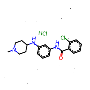 CN1CCC(Nc2cccc(NC(=O)c3ccccc3Cl)c2)CC1.Cl